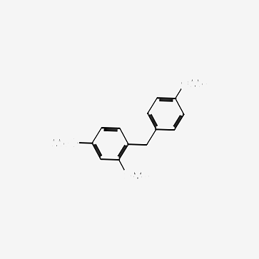 [CH2]Oc1ccc(Cc2ccc(OC)cc2OC)cc1